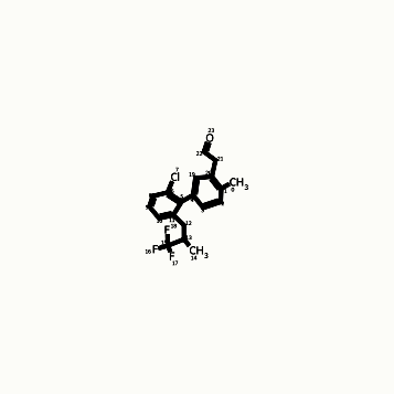 Cc1ccc(-c2c(Cl)cccc2CC(C)C(F)(F)F)cc1CC=O